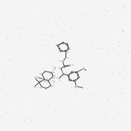 COc1cc(OC)cc([C@H](CC(=O)OCc2ccccc2)C[C@H]2[C@@H](C)CC[C@H]3C(C)(C)CCC[C@]23C)c1